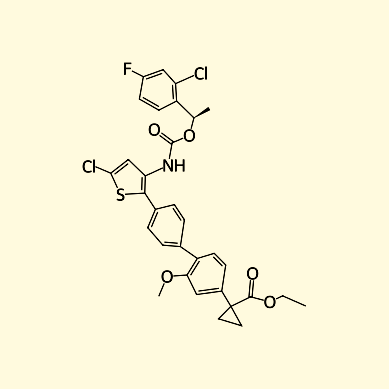 CCOC(=O)C1(c2ccc(-c3ccc(-c4sc(Cl)cc4NC(=O)O[C@H](C)c4ccc(F)cc4Cl)cc3)c(OC)c2)CC1